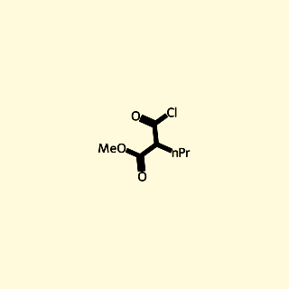 CCCC(C(=O)Cl)C(=O)OC